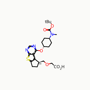 CN(C(=O)OC(C)(C)C)[C@H]1CC[C@H](Oc2ncnc3sc4c(c23)[C@@H](COCC(=O)O)CC4)CC1